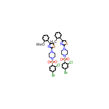 COc1ccccc1-c1csc(N2CCN(S(=O)(=O)c3ccc(Br)cc3Cl)CC2)n1.Cc1ccccc1-c1csc(N2CCN(S(=O)(=O)c3ccc(Br)cc3Cl)CC2)n1